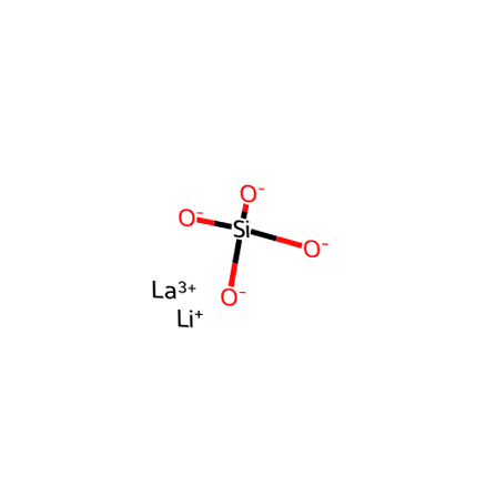 [La+3].[Li+].[O-][Si]([O-])([O-])[O-]